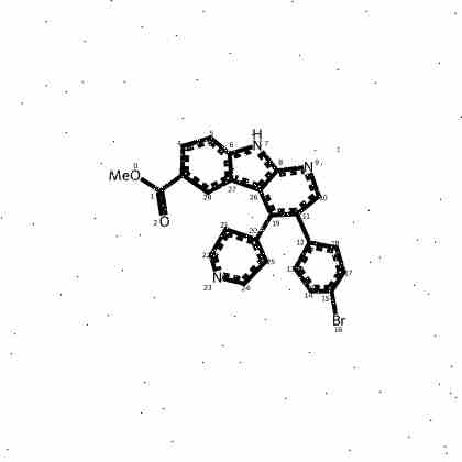 COC(=O)c1ccc2[nH]c3ncc(-c4ccc(Br)cc4)c(-c4ccncc4)c3c2c1